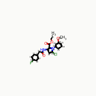 CCOC(=O)c1c(NC(=O)Cc2ccc(F)cc2)cc(Cl)n1-c1cccc(OC)c1